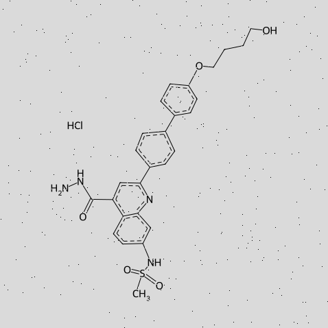 CS(=O)(=O)Nc1ccc2c(C(=O)NN)cc(-c3ccc(-c4ccc(OCCCCO)cc4)cc3)nc2c1.Cl